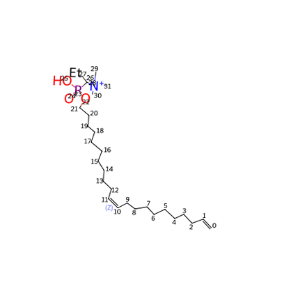 C=CCCCCCCCC/C=C\CCCCCCCCCCOP(=O)(O)C(CC)[N+](C)(C)C